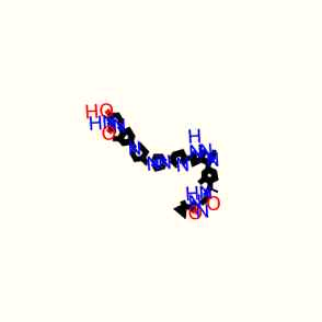 Cc1cc(-c2ncnc3[nH]c(-c4ccc(N5CCN(CC6CCN(c7ccc(N8CCC(O)NC8=O)c(C)c7)CC6)CC5)cn4)cc23)ccc1[C@@H](C)NC(=O)c1noc(C2(C)CC2)n1